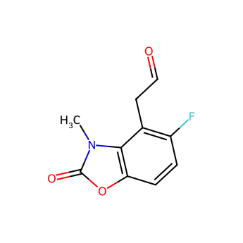 Cn1c(=O)oc2ccc(F)c(CC=O)c21